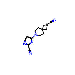 N#CB1CC2(CCN(c3ccnc(C#N)n3)CC2)C1